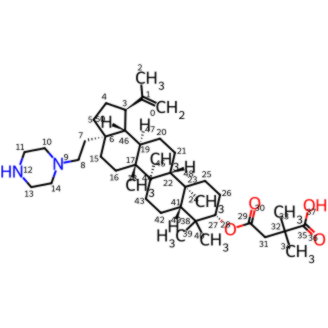 C=C(C)[C@@H]1CC[C@]2(CCN3CCNCC3)CC[C@]3(C)[C@H](CC[C@@H]4[C@@]5(C)CC[C@H](OC(=O)CC(C)(C)C(=O)O)C(C)(C)[C@@H]5CC[C@]43C)[C@@H]12